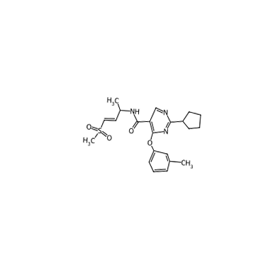 Cc1cccc(Oc2nc(C3CCCC3)ncc2C(=O)NC(C)C=CS(C)(=O)=O)c1